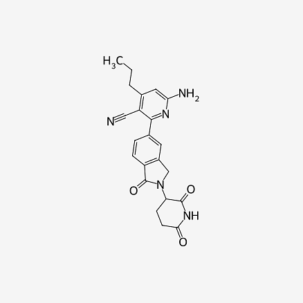 CCCc1cc(N)nc(-c2ccc3c(c2)CN(C2CCC(=O)NC2=O)C3=O)c1C#N